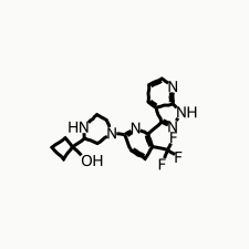 OC1(C2CN(c3ccc(C(F)(F)F)c(-c4n[nH]c5ncccc45)n3)CCN2)CCC1